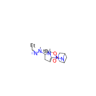 CC/C=N\N(C)C1CC=C(N2CC3CC(C2)N3C(=O)OC(C)(C)C)N1C